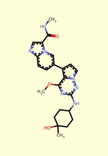 CNC(=O)c1cnc2ccc(-c3ccn4nc(NC5CCC(C)(O)CC5)nc(OC)c34)cn12